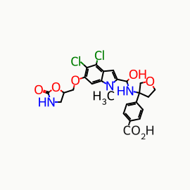 Cn1c(C(O)NC2(c3ccc(C(=O)O)cc3)CCOC2)cc2c(Cl)c(Cl)c(OCC3CNC(=O)O3)cc21